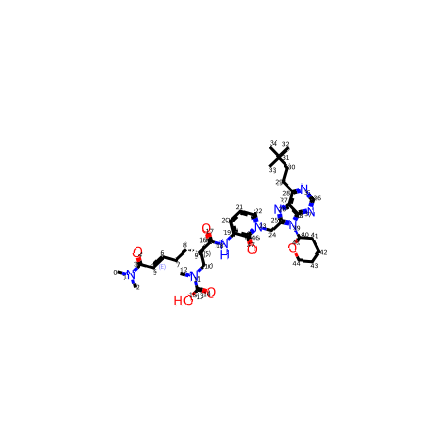 CN(C)C(=O)/C=C/CC[C@@H](CN(C)C(=O)O)C(=O)Nc1cccn(Cc2nc3c(CCC(C)(C)C)ncnc3n2C2CCCCO2)c1=O